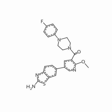 COc1ncc(-c2ccc3nc(N)sc3c2)cc1C(=O)N1CCN(c2ccc(F)cc2)CC1